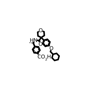 C[C@H](NC(=O)C1(c2ccc(OCC3CCCCC3)cc2)CCOCC1)c1ccc(C(=O)O)cc1